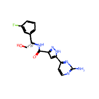 Nc1nccc(-c2cc(C(=O)N[C@H](CO)c3cccc(F)c3)n[nH]2)n1